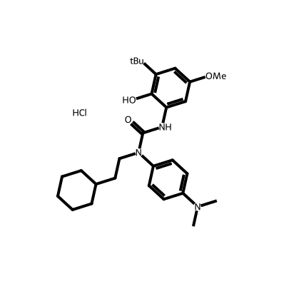 COc1cc(NC(=O)N(CCC2CCCCC2)c2ccc(N(C)C)cc2)c(O)c(C(C)(C)C)c1.Cl